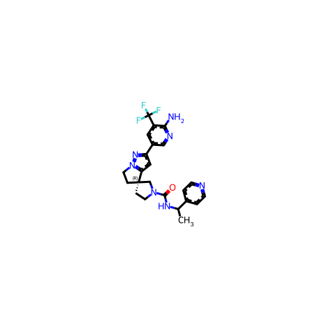 CC(NC(=O)N1CC[C@@]2(CCn3nc(-c4cnc(N)c(C(F)(F)F)c4)cc32)C1)c1ccncc1